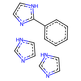 c1c[nH]cn1.c1c[nH]cn1.c1ccc(-c2ncc[nH]2)cc1